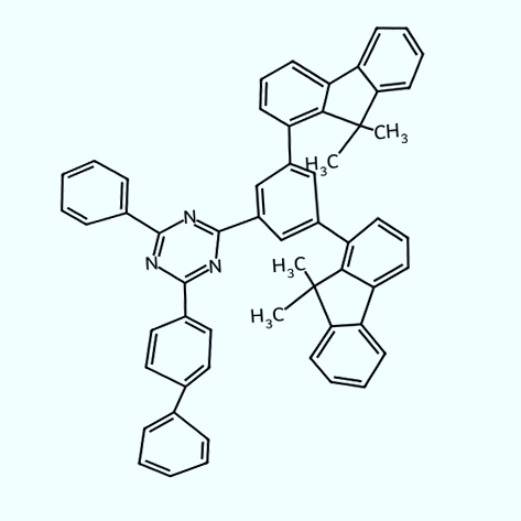 CC1(C)c2ccccc2-c2cccc(-c3cc(-c4nc(-c5ccccc5)nc(-c5ccc(-c6ccccc6)cc5)n4)cc(-c4cccc5c4C(C)(C)c4ccccc4-5)c3)c21